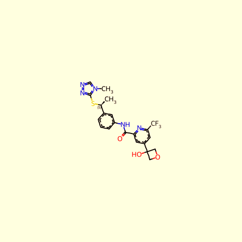 C[C@H](Sc1nncn1C)c1cccc(NC(=O)c2cc(C3(O)COC3)cc(C(F)(F)F)n2)c1